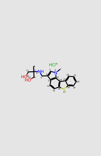 Cl.Cn1cc(CNC(C)(CO)CO)c2ccc3sc4ccccc4c3c21